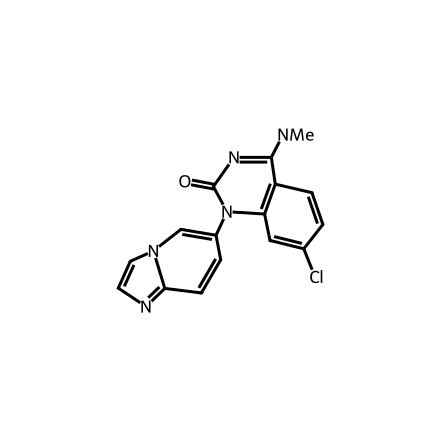 CNc1nc(=O)n(-c2ccc3nccn3c2)c2cc(Cl)ccc12